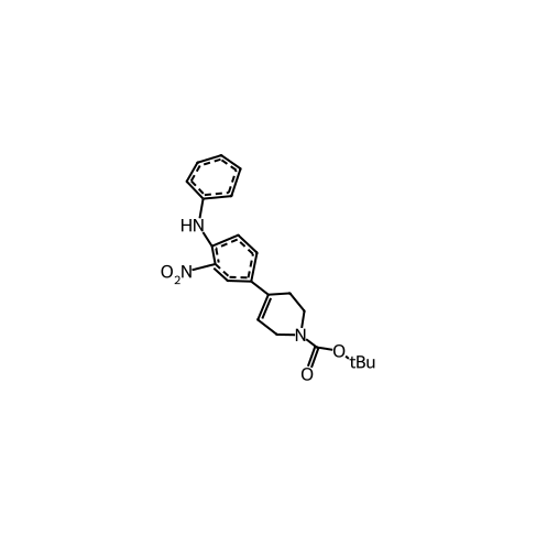 CC(C)(C)OC(=O)N1CC=C(c2ccc(Nc3ccccc3)c([N+](=O)[O-])c2)CC1